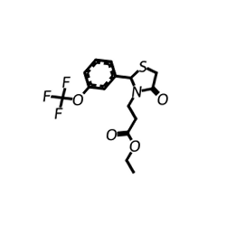 CCOC(=O)CCN1C(=O)CSC1c1cccc(OC(F)(F)F)c1